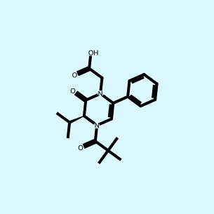 CC(C)[C@H]1C(=O)N(CC(=O)O)C(c2ccccc2)=CN1C(=O)C(C)(C)C